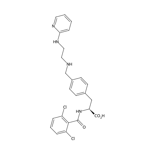 O=C(N[C@@H](Cc1ccc(CNCCNc2ccccn2)cc1)C(=O)O)c1c(Cl)cccc1Cl